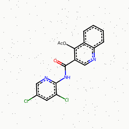 CC(=O)Oc1c(C(=O)Nc2ncc(Cl)cc2Cl)cnc2ccccc12